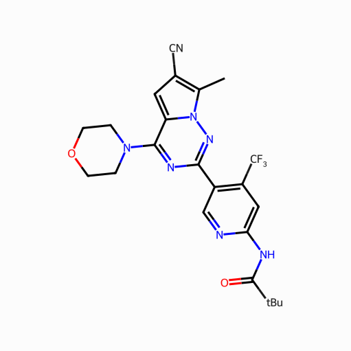 Cc1c(C#N)cc2c(N3CCOCC3)nc(-c3cnc(NC(=O)C(C)(C)C)cc3C(F)(F)F)nn12